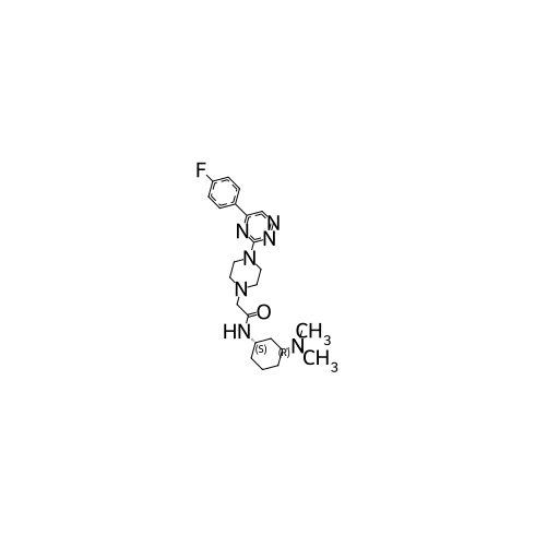 CN(C)[C@@H]1CCC[C@H](NC(=O)CN2CCN(c3nncc(-c4ccc(F)cc4)n3)CC2)C1